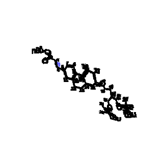 CCCCOC(=O)/C=C/c1ccc2c(c1)CCc1cc(OCCC(CO[Si](C)(C)C(C)(C)C)CO[Si](C)(C)C(C)(C)C)ccc1-2